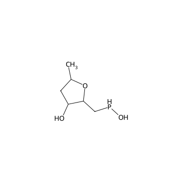 CC1CC(O)C(CPO)O1